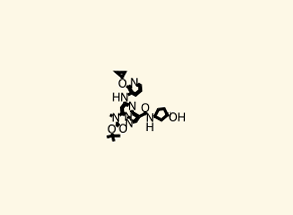 CN(C(=O)OC(C)(C)C)c1cc(Nc2cccnc2OC2CC2)nc2c(C(=O)NC3CC[C@H](O)C3)cnn12